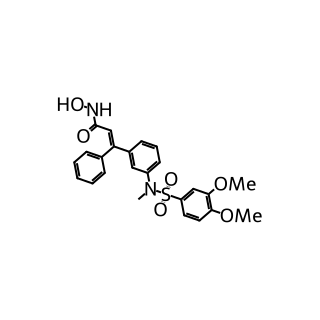 COc1ccc(S(=O)(=O)N(C)c2cccc(C(=CC(=O)NO)c3ccccc3)c2)cc1OC